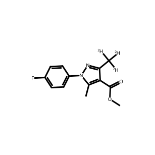 [2H]C([2H])([2H])c1nn(-c2ccc(F)cc2)c(C)c1C(=O)OC